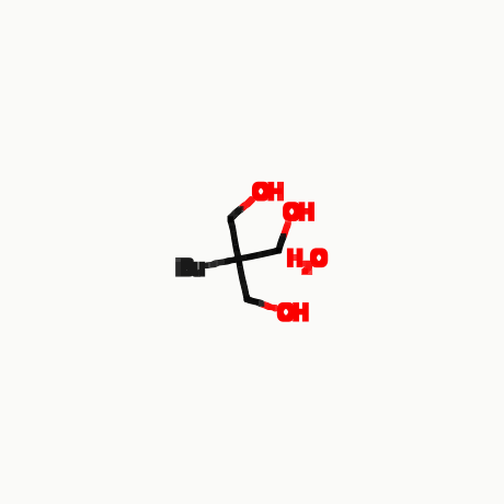 CCC(C)C(CO)(CO)CO.O